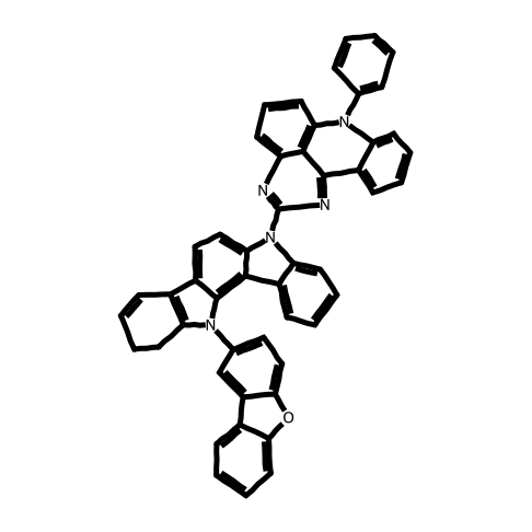 C1=Cc2c(n(-c3ccc4oc5ccccc5c4c3)c3c2ccc2c3c3ccccc3n2-c2nc3c4c(cccc4n2)N(c2ccccc2)c2ccccc2-3)CC1